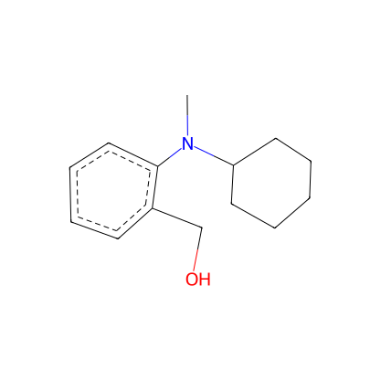 CN(c1ccccc1CO)C1CCCCC1